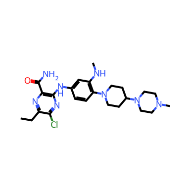 CCc1nc(C(N)=O)c(Nc2ccc(N3CCC(N4CCN(C)CC4)CC3)c(NC)c2)nc1Cl